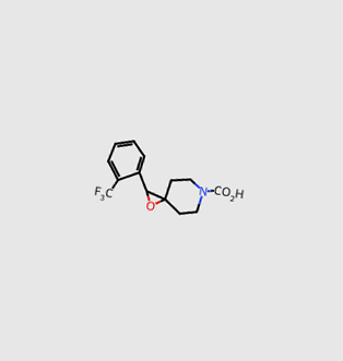 O=C(O)N1CCC2(CC1)OC2c1ccccc1C(F)(F)F